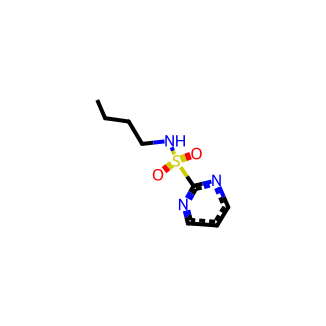 CCCCNS(=O)(=O)c1ncccn1